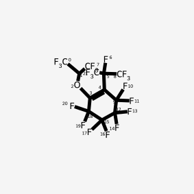 FC(F)(F)C(OC1=C(C(F)(C(F)(F)F)C(F)(F)F)C(F)(F)C(F)(F)C(F)(F)C1(F)F)C(F)(F)F